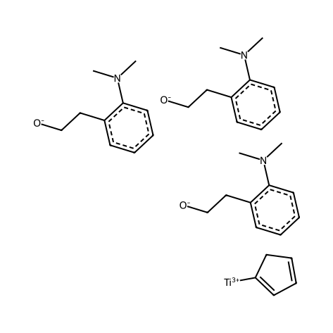 CN(C)c1ccccc1CC[O-].CN(C)c1ccccc1CC[O-].CN(C)c1ccccc1CC[O-].[Ti+3][C]1=CC=CC1